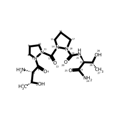 C[C@@H](O)[C@H](N)C(=O)N1CCCN1C(=O)N1CCCN1C(=O)N[C@H](C(N)=O)[C@@H](C)O